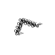 O=[N+]([O-])[O-].O=[N+]([O-])[O-].O=[N+]([O-])[O-].O=[N+]([O-])[O-].O=[N+]([O-])[O-].O=[N+]([O-])[O-].O=[N+]([O-])[O-].[Al+3].[Cu+2].[Mg+2]